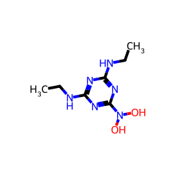 CCNc1nc(NCC)nc(N(O)O)n1